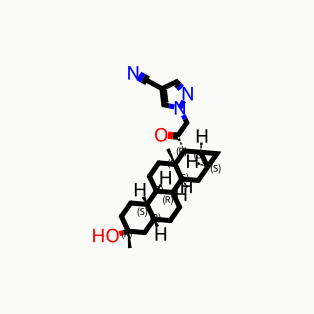 C[C@@]1(O)CC[C@H]2[C@H](CC[C@@H]3[C@@H]2CC[C@]2(C)[C@H](C(=O)Cn4cc(C#N)cn4)[C@H]4C[C@H]4C[C@@H]32)C1